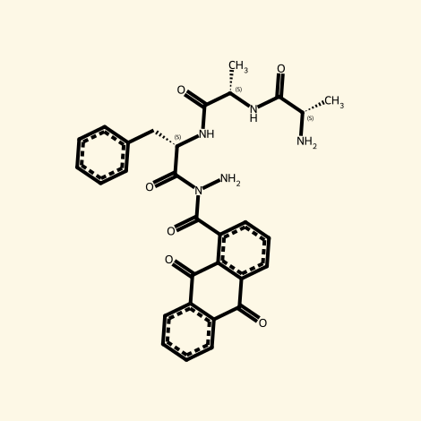 C[C@H](N)C(=O)N[C@@H](C)C(=O)N[C@@H](Cc1ccccc1)C(=O)N(N)C(=O)c1cccc2c1C(=O)c1ccccc1C2=O